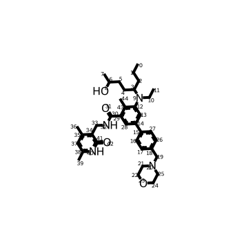 CCCC(CCC(C)O)N(CC)c1cc(-c2ccc(CN3CCOCC3)cc2)cc(C(=O)NCc2c(C)cc(C)[nH]c2=O)c1C